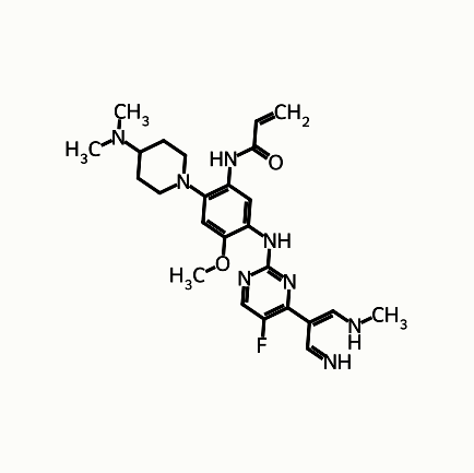 C=CC(=O)Nc1cc(Nc2ncc(F)c(/C(C=N)=C/NC)n2)c(OC)cc1N1CCC(N(C)C)CC1